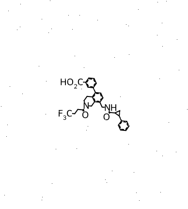 O=C(O)c1cccc(-c2ccc(CNC(=O)C3CC3c3ccccc3)c3c2CCN(C(=O)CCC(F)(F)F)C3)c1